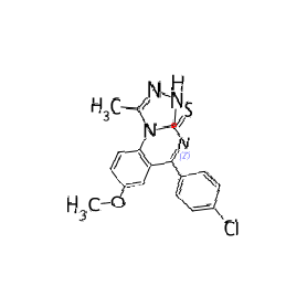 COc1ccc(N2CNN=C2C)c(/C(=N\C=S)c2ccc(Cl)cc2)c1